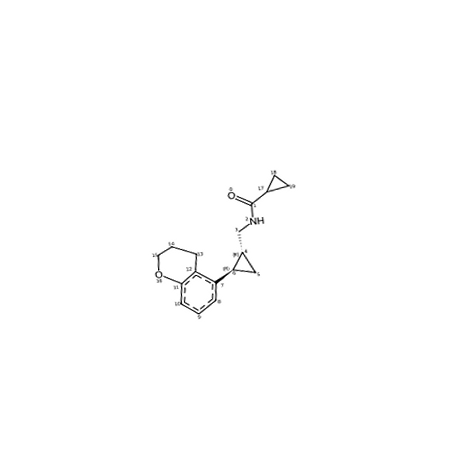 O=C(NC[C@@H]1C[C@H]1c1cccc2c1CCCO2)C1CC1